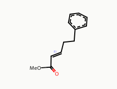 COC(=O)/C=C/CCc1ccccc1